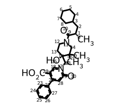 C[C@H](CC1CCCCC1)C(=O)N1CC[C@@](O)(Cn2cc(C(=O)O)c(-c3ccccc3)cc2=O)C(C)(C)C1